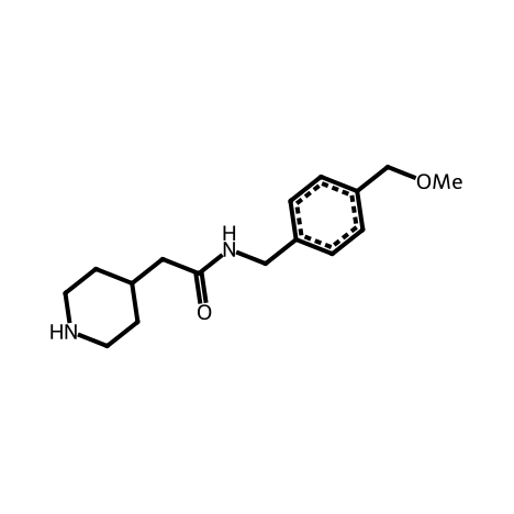 COCc1ccc(CNC(=O)CC2CCNCC2)cc1